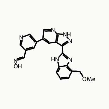 COCc1cccc2[nH]c(-c3n[nH]c4ncc(-c5cncc(/C=N/O)c5)cc34)nc12